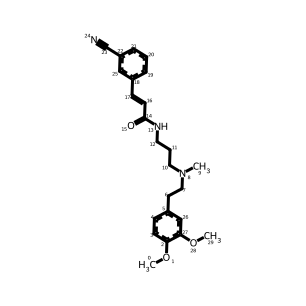 COc1ccc(CCN(C)CCCNC(=O)/C=C/c2cccc(C#N)c2)cc1OC